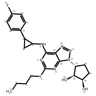 CCCCSc1nc(NC2CC2c2ccc(F)cc2)c2nnn([C@@H]3CC[C@@H](O)[C@H]3O)c2n1